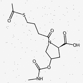 CNC(=O)OC1C[C@H](C(=O)O)N(C(=O)CCCSC(C)=O)C1